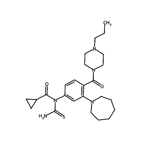 CCCN1CCN(C(=O)c2ccc(N(C(=O)C3CC3)C(N)=S)cc2N2CCCCCC2)CC1